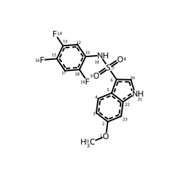 COc1ccc2c(S(=O)(=O)Nc3cc(F)c(F)cc3F)c[nH]c2c1